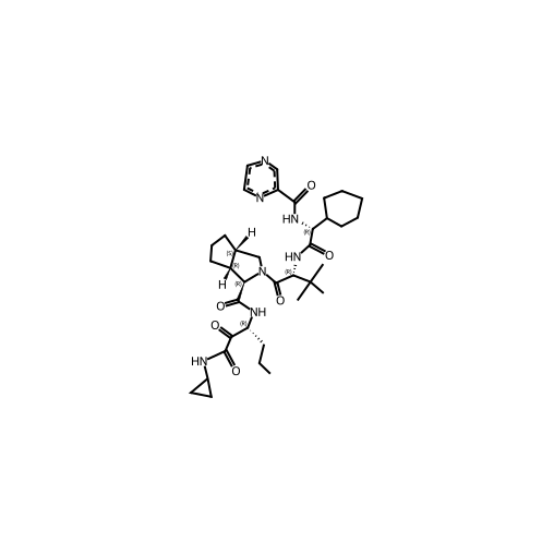 CCC[C@@H](NC(=O)[C@H]1[C@@H]2CCC[C@@H]2CN1C(=O)[C@H](NC(=O)[C@H](NC(=O)c1cnccn1)C1CCCCC1)C(C)(C)C)C(=O)C(=O)NC1CC1